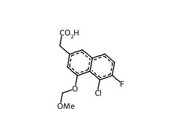 COCOc1cc(CC(=O)O)cc2ccc(F)c(Cl)c12